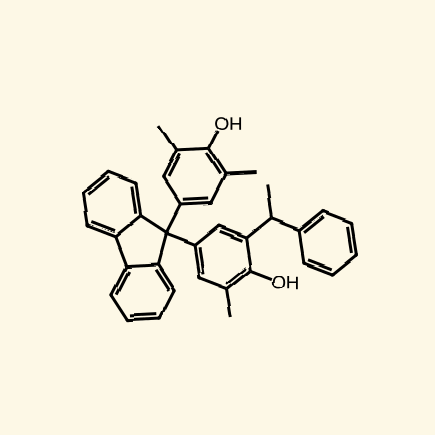 Cc1cc(C2(c3cc(C)c(O)c(C(C)c4ccccc4)c3)c3ccccc3-c3ccccc32)cc(C)c1O